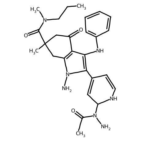 CCCN(C)C(=O)C1(C)CC(=O)c2c(Nc3ccccc3)c(C3=CC(N(N)C(C)=O)NC=C3)n(N)c2C1